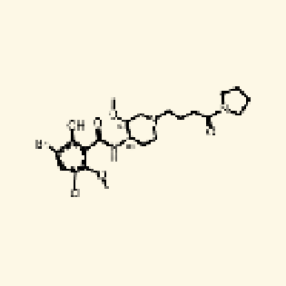 COc1c(Cl)cc(Br)c(O)c1C(=O)N[C@@H]1CCN(CCCC(=O)N2CCCC2)C[C@@H]1OC